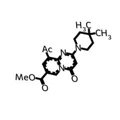 COC(=O)c1cc(C(C)=O)c2nc(N3CCC(C)(C)CC3)cc(=O)n2c1